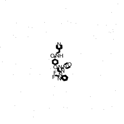 O=C(NCCc1ccncc1)[C@H]1CC[C@H](Oc2cc(-n3c(C(F)F)nc4ccccc43)nc(N3CCOCC3)n2)CC1